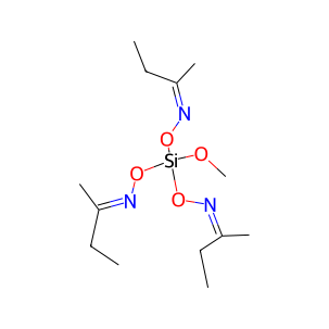 CCC(C)=NO[Si](OC)(ON=C(C)CC)ON=C(C)CC